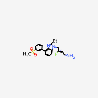 CCc1nc2c(-c3cccc(S(C)(=O)=O)c3)cccc2n1C/C(F)=C/CN